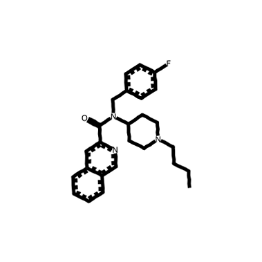 CCCCN1CCC(N(Cc2ccc(F)cc2)C(=O)c2cc3ccccc3cn2)CC1